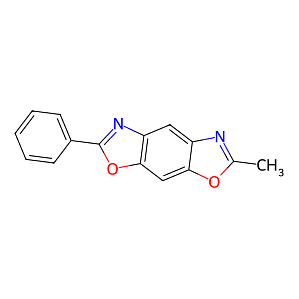 Cc1nc2cc3nc(-c4ccccc4)oc3cc2o1